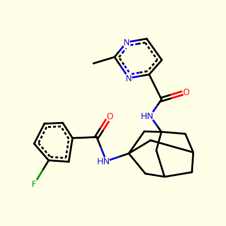 Cc1nccc(C(=O)NC23CC4CC(CC(NC(=O)c5cccc(F)c5)(C4)C2)C3)n1